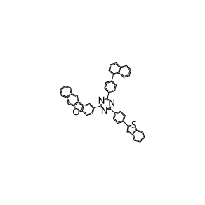 c1ccc2cc3c(cc2c1)oc1ccc(-c2nc(-c4ccc(-c5cc6ccccc6s5)cc4)nc(-c4ccc(-c5cccc6ccccc56)cc4)n2)cc13